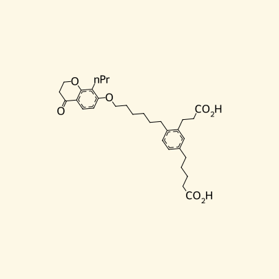 CCCc1c(OCCCCCCc2ccc(CCCCC(=O)O)cc2CCC(=O)O)ccc2c1OCCC2=O